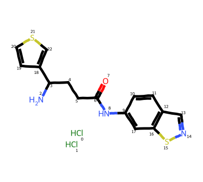 Cl.Cl.NC(CCC(=O)Nc1ccc2cnsc2c1)c1ccsc1